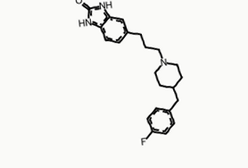 O=c1[nH]c2ccc(CCCN3CCC(Cc4ccc(F)cc4)CC3)cc2[nH]1